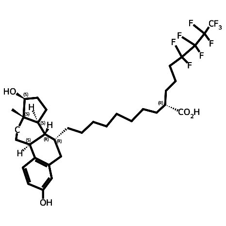 C[C@]12CC[C@@H]3c4ccc(O)cc4C[C@@H](CCCCCCCC[C@H](CCCC(F)(F)C(F)(F)C(F)(F)C(F)(F)F)C(=O)O)[C@H]3[C@@H]1CC[C@@H]2O